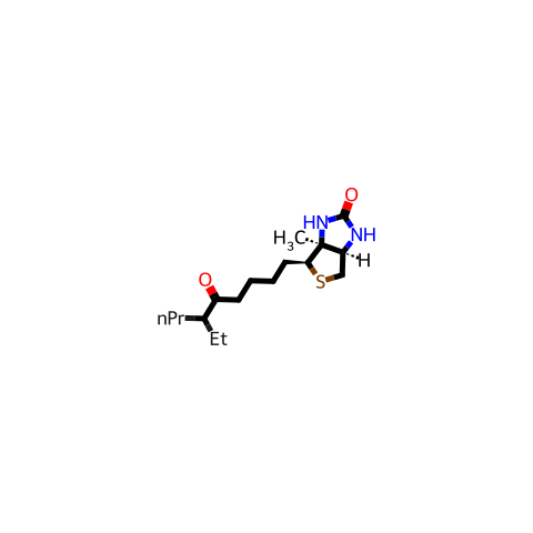 CCCC(CC)C(=O)CCCC[C@@H]1SC[C@@H]2NC(=O)N[C@@]21C